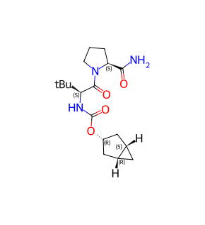 CC(C)(C)[C@H](NC(=O)O[C@@H]1C[C@@H]2C[C@@H]2C1)C(=O)N1CCC[C@H]1C(N)=O